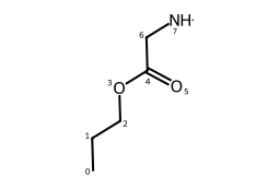 CCCOC(=O)C[NH]